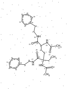 CCS(NC(C)=O)(SCC(NC(C)=O)C(=O)NCCc1ccccc1)C(=O)NCCc1ccccc1